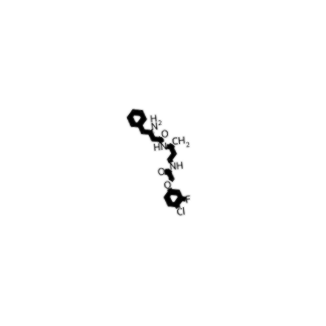 C=C(CCNC(=O)COc1ccc(Cl)c(F)c1)NC(=O)C[C@@H](N)Cc1ccccc1